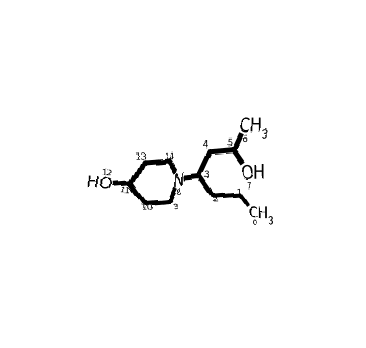 CCCC(CC(C)O)N1CCC(O)CC1